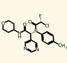 Cc1ccc(N(C(=O)[C@H](F)Cl)[C@@H](C(=O)NC2CCOCC2)c2cncnc2)cc1